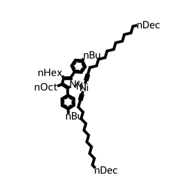 CCCCCCCCC1=C(c2ccc(CCCC)cc2)[N+](=[N-])C(c2ccc(CCCC)cc2)=C1CCCCCC.CCCCCCCCCCCCCCCCCCCCCC#[C][Ni][C]#CCCCCCCCCCCCCCCCCCCCCC